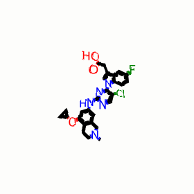 CN1CCc2c(cc(Nc3ncc(Cl)c(-n4cc(CC(=O)O)c5cc(F)ccc54)n3)cc2OC2CC2)C1